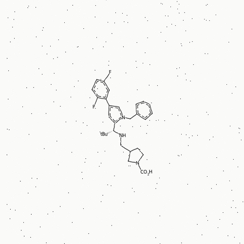 CC(C)(C)[C@@H](NCC1CCN(C(=O)O)C1)c1cc(-c2cc(F)ccc2F)cn1Cc1ccccc1